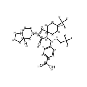 CC(C)(C)CC[C@H](c1ccc(C(=O)O)cc1)N1C(=O)C(N2CCN3CCC[C@H]3C2)=NC12CCC(C(C)(C)C)CC2